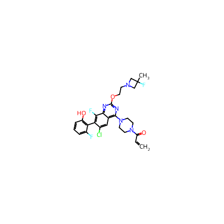 C=CC(=O)N1CCN(c2nc(OCCN3CC(C)(F)C3)nc3c(F)c(-c4c(O)cccc4F)c(Cl)cc23)CC1